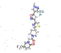 Cn1cc(C2CC(c3csc(C4CCN(C(=O)Cn5cc(C(F)(F)F)ccc5=O)CC4)n3)=NO2)c(C(F)F)n1